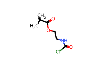 C=C(C)C(=O)OCCNC(=O)Cl